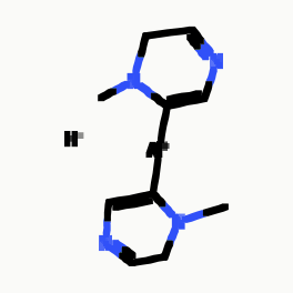 CN1CC=NC=[C]1[Al+][C]1=CN=CCN1C.[H-]